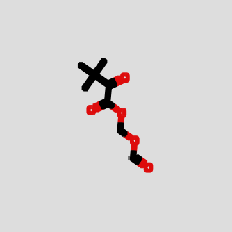 CC(C)(C)C(=O)C(=O)OCO[C]=O